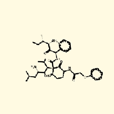 CC[C@H](C)[C@H](N)C(=O)C(NC(=O)[C@@]1(C(C(C)C)[C@H](O)[C@@H](N)CC(C)C)C(=O)CCC(NC(=O)COc2ccccc2)C1=O)c1ccccn1